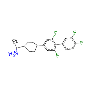 CCC(N)C1CCC(c2cc(F)c(-c3ccc(F)c(F)c3)c(F)c2)CC1